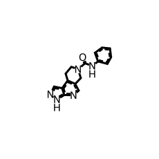 O=C(Nc1ccccc1)N1CCc2c(cnc3[nH]ncc23)C1